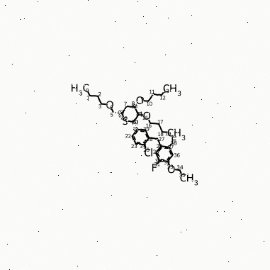 CCCCOC[C@@H]1C[C@H](OCCCC)[C@@H](OCCCC)[C@H](c2ccc(Cl)c(Cc3cc(F)c(OCC)cc3F)c2)S1